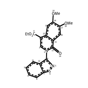 CCOC(=O)c1cn(-c2nsc3ccccc23)c(=O)c2cc(OC)c(OC)cc12